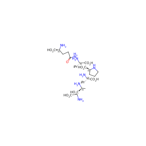 CC(C)[C@H](N)C(=O)O.CC(C)[C@H](N)C(=O)O.C[C@H](N)C(=O)O.NC(=O)CC[C@H](N)C(=O)O.NCC(=O)O.O=C(O)[C@@H]1CCCN1